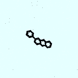 [c]1c2ccccc2[c]c2cc(-c3ccccc3)ccc12